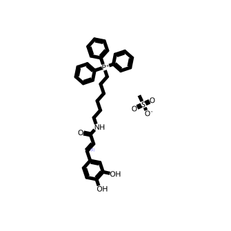 CS(=O)(=O)[O-].O=C(/C=C/c1ccc(O)c(O)c1)NCCCCCC[P+](c1ccccc1)(c1ccccc1)c1ccccc1